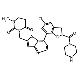 CN1CCC(=O)N(Cc2cc3nccc(-c4cc(Cl)cc5c4OC(C(=O)N4CCNCC4)C5)c3s2)C1=O